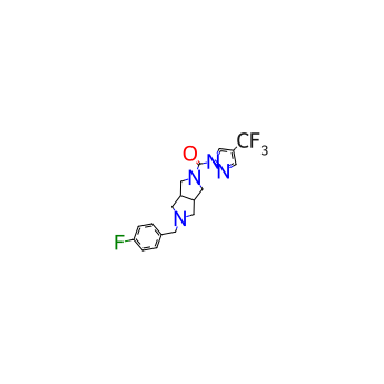 O=C(N1CC2CN(Cc3ccc(F)cc3)CC2C1)n1cc(C(F)(F)F)cn1